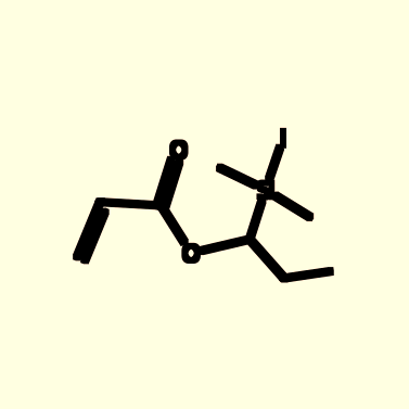 C=CC(=O)OC(CC)[Si](C)(C)I